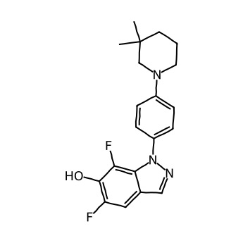 CC1(C)CCCN(c2ccc(-n3ncc4cc(F)c(O)c(F)c43)cc2)C1